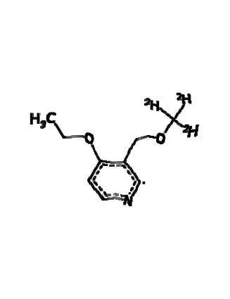 [2H]C([2H])([2H])OCc1[c]nccc1OCC